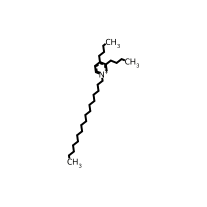 CCCCCCCCCCCCCCCCC[n+]1ccc(CCCC)c(CCCC)c1